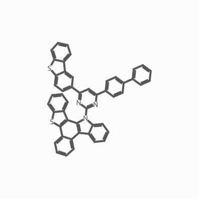 c1ccc(-c2ccc(-c3cc(-c4ccc5sc6ccccc6c5c4)nc(-n4c5ccccc5c5c6ccccc6c6sc7ccccc7c6c54)n3)cc2)cc1